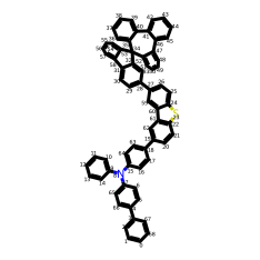 c1ccc(-c2ccc(N(c3ccccc3)c3ccc(-c4ccc5sc6ccc(-c7ccc8c(c7)C7(c9ccccc9-c9ccccc9-c9ccccc97)c7ccccc7-8)cc6c5c4)cc3)cc2)cc1